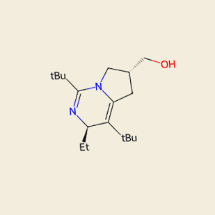 CC[C@H]1N=C(C(C)(C)C)N2C[C@H](CO)CC2=C1C(C)(C)C